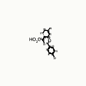 CC1=C[C@H](OCc2ccc(C)cc2)[C@H]([C@H](C)C(=O)O)CC1